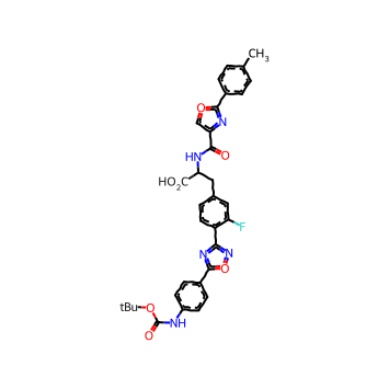 Cc1ccc(-c2nc(C(=O)NC(Cc3ccc(-c4noc(-c5ccc(NC(=O)OC(C)(C)C)cc5)n4)c(F)c3)C(=O)O)co2)cc1